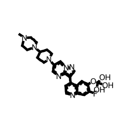 CN1CCN(C2CCN(c3cnc4c(-c5ccnc6cc(F)c(OC(O)(O)O)cc56)cnn4c3)CC2)CC1